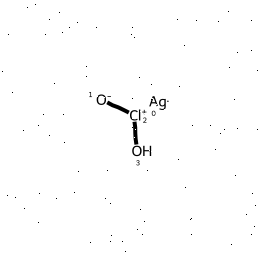 [Ag].[O-][Cl+]O